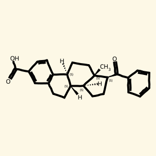 C[C@]12CC[C@@H]3c4ccc(C(=O)O)cc4CC[C@H]3[C@@H]1CC[C@@H]2C(=O)c1ccccc1